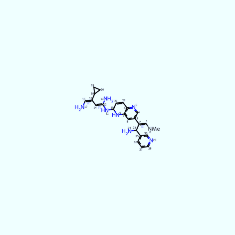 CN/C=C(/c1cnc2c(c1)NC(N/C(N)=C/C(=C\N)C1CC1)C=C2)C(N)c1cccnc1